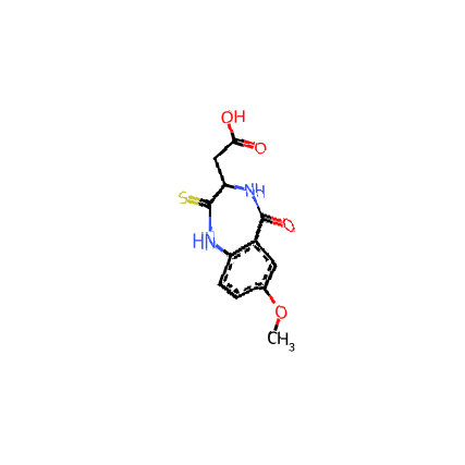 COc1ccc2c(c1)C(=O)NC(CC(=O)O)C(=S)N2